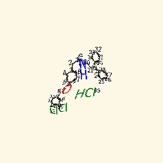 CC(Cc1ccc(OCc2ccc(Cl)c(Cl)c2)cc1)NCCC(c1ccccc1)c1ccccc1.Cl